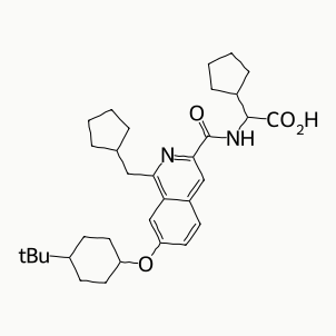 CC(C)(C)C1CCC(Oc2ccc3cc(C(=O)NC(C(=O)O)C4CCCC4)nc(CC4CCCC4)c3c2)CC1